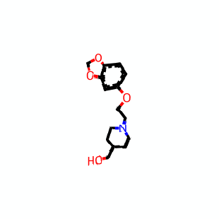 OCC1CCN(CCOc2ccc3c(c2)OCO3)CC1